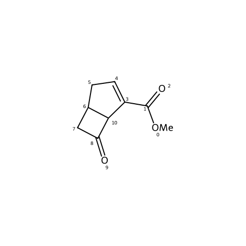 COC(=O)C1=CCC2CC(=O)C12